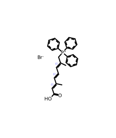 CC(/C=C/C=C(\C)C[P+](c1ccccc1)(c1ccccc1)c1ccccc1)=C\C(=O)O.[Br-]